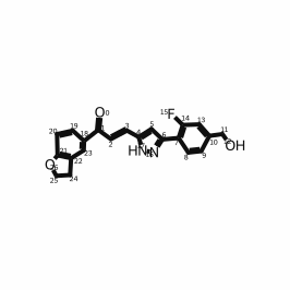 O=C(/C=C/c1cc(-c2ccc(CO)cc2F)n[nH]1)c1ccc2c(c1)CCO2